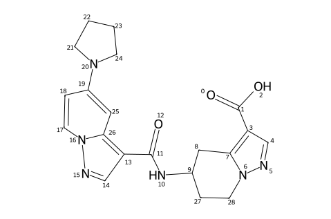 O=C(O)c1cnn2c1CC(NC(=O)c1cnn3ccc(N4CCCC4)cc13)CC2